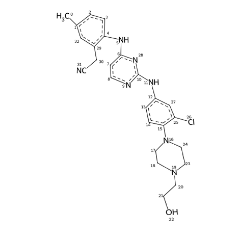 Cc1ccc(Nc2ccnc(Nc3ccc(N4CCN(CCO)CC4)c(Cl)c3)n2)c(CC#N)c1